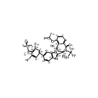 [2H]C([2H])([2H])N1C(=O)c2cccc(OC(F)F)c2[C@H]2C[C@@H]1c1nc3ccc(-c4cc(F)c([C@H](C)P(C)(C)=O)c(F)c4)cc3n12